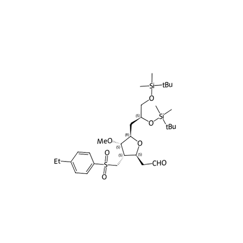 CCc1ccc(S(=O)(=O)C[C@@H]2[C@H](OC)[C@@H](C[C@@H](CO[Si](C)(C)C(C)(C)C)O[Si](C)(C)C(C)(C)C)O[C@H]2CC=O)cc1